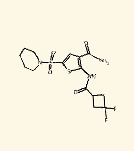 NC(=O)c1cc(S(=O)(=O)N2CCCCC2)sc1NC(=O)C1CC(F)(F)C1